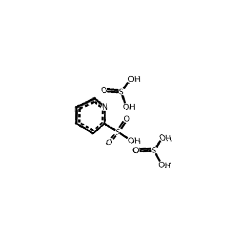 O=S(=O)(O)c1ccccn1.O=S(O)O.O=S(O)O